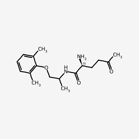 CC(=O)CC[C@H](N)C(=O)NC(C)COc1c(C)cccc1C